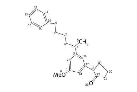 COc1cc(C(C)CCCCc2ccccc2)cc(C2CCCC2=O)c1